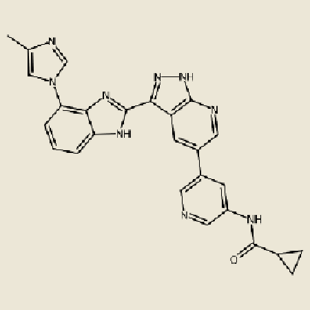 Cc1cn(-c2cccc3[nH]c(-c4n[nH]c5ncc(-c6cncc(NC(=O)C7CC7)c6)cc45)nc23)cn1